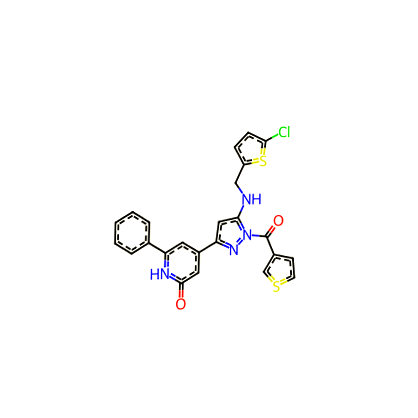 O=C(c1ccsc1)n1nc(-c2cc(-c3ccccc3)[nH]c(=O)c2)cc1NCc1ccc(Cl)s1